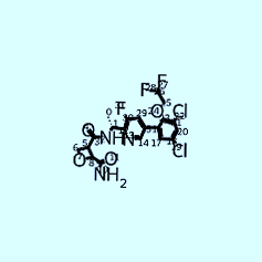 C[C@@H](NC(=O)C1COC1C(N)=O)c1ncc(-c2cc(Cl)cc(Cl)c2OCC(F)F)cc1F